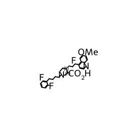 COc1ccc2nccc(C(F)CC[C@@H]3CCN(CCCCc4c(F)cccc4F)C[C@@H]3C(=O)O)c2c1